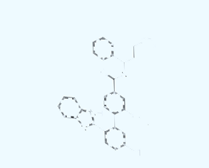 O=C(NC(CCC(F)(F)F)c1ccccc1)c1ccc(-c2cc(Cl)ccc2-c2nc3ccccc3[nH]2)c(C(=O)O)c1